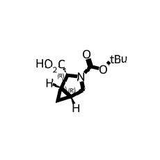 CC(C)(C)OC(=O)N1C[C@@H]2C[C@@H]2[C@@H]1C(=O)O